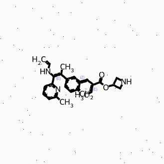 C=CN/C(=C(\C)c1ccc(=C)/c(=C\C(=C/C)C(=O)OC2CNC2)c1)c1cccc(C)n1